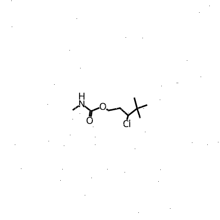 CNC(=O)OCCC(Cl)C(C)(C)C